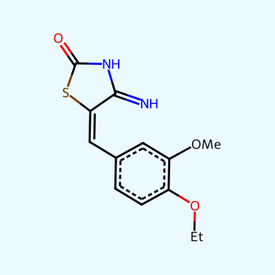 CCOc1ccc(C=C2SC(=O)NC2=N)cc1OC